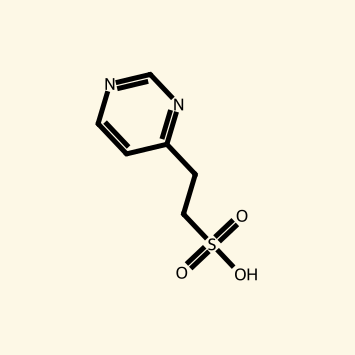 O=S(=O)(O)CCc1ccncn1